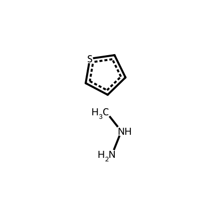 CNN.c1ccsc1